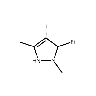 CCC1C(C)=C(C)NN1C